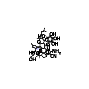 CC(C)=CCCC1(C)C=Cc2c(c(CC=C(C)C)c3c(c2O[C@@H]2O[C@H](CO)[C@@H](O)[C@H](O)[C@H]2O)C2=C4C(C(C#N)=C(N)N2)C2CC5C(C)(C)OC(C/C=C(/C)C(=O)NCCO)(C2=O)C45O3)O1